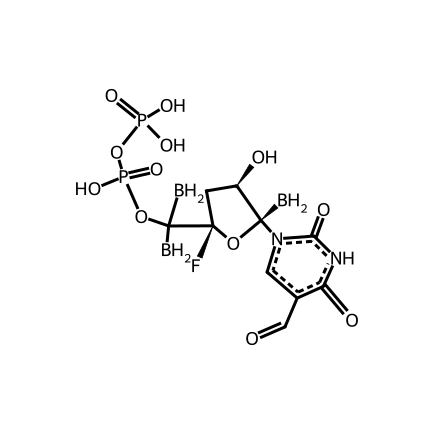 BC(B)(OP(=O)(O)OP(=O)(O)O)[C@]1(F)C[C@@H](O)[C@](B)(n2cc(C=O)c(=O)[nH]c2=O)O1